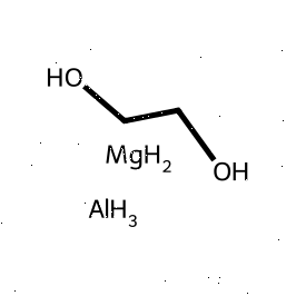 OCCO.[AlH3].[MgH2]